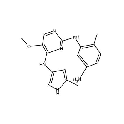 COc1cnc(Nc2cc(N)ccc2C)nc1Nc1cc(C)[nH]n1